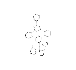 C1=CC(c2cc(-c3ccccn3)nc(-c3ccccc3-c3cccc4c3Oc3ccccc3C43c4ccccc4-c4ccccc43)n2)=CCC1